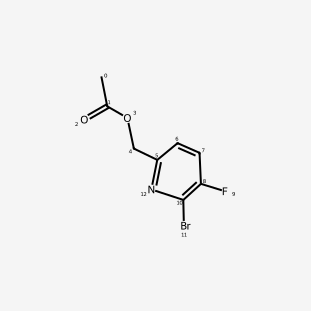 CC(=O)OCc1ccc(F)c(Br)n1